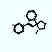 CN1CCCC1(/C=C/c1ccccc1)c1ccccc1